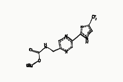 CC(C)(C)OC(=O)NCc1cnc(-c2nc(C(F)(F)F)c[nH]2)cn1